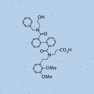 COc1cccc(CCN(CCC(=O)O)C(=O)c2ccccc2-c2ccccc2C(=O)N(CCO)Cc2ccccc2)c1OC